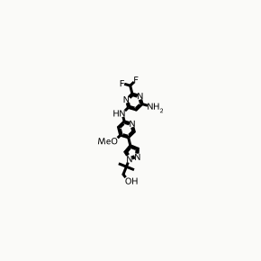 COc1cc(Nc2cc(N)nc(C(F)F)n2)ncc1-c1cnn(C(C)(C)CO)c1